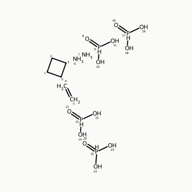 C1CCC1.C=C.N.N.O=[PH](O)O.O=[PH](O)O.O=[PH](O)O.O=[PH](O)O